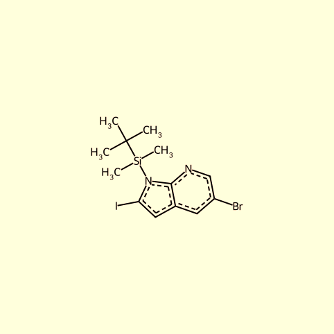 CC(C)(C)[Si](C)(C)n1c(I)cc2cc(Br)cnc21